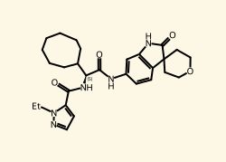 CCn1nccc1C(=O)N[C@H](C(=O)Nc1ccc2c(c1)NC(=O)C21CCOCC1)C1CCCCCCC1